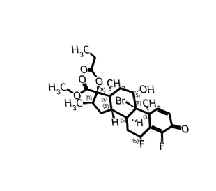 CCC(=O)O[C@]1(C(=O)OC)[C@H](C)C[C@H]2[C@@H]3C[C@H](F)C4=C(F)C(=O)C=C[C@]4(C)[C@@]3(Br)[C@@H](O)C[C@@]21C